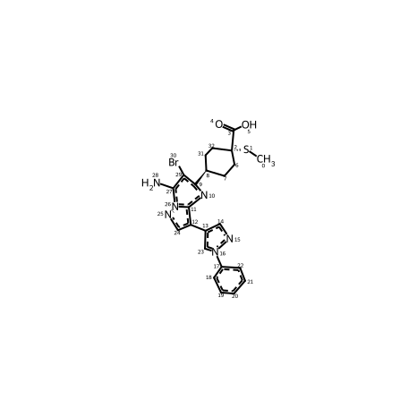 CS[C@]1(C(=O)O)CC[C@@H](c2nc3c(-c4cnn(-c5ccccc5)c4)cnn3c(N)c2Br)CC1